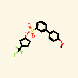 COc1ccc(-c2cccc(S(=O)(=O)OC3CCC(C(F)(F)F)C3)c2)cc1